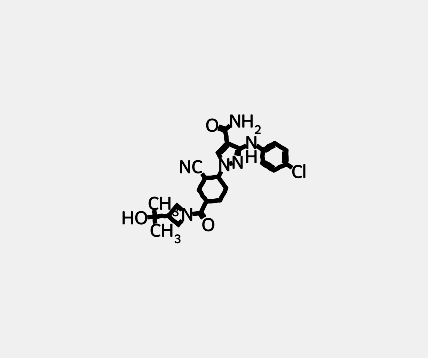 CC(C)(O)C1CN(C(=O)C2CCC(n3cc(C(N)=O)c(Nc4ccc(Cl)cc4)n3)C(C#N)C2)C1